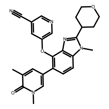 Cc1cc(-c2ccc3c(nc(C4CCOCC4)n3C)c2Oc2cncc(C#N)c2)cn(C)c1=O